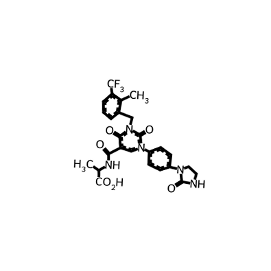 Cc1c(Cn2c(=O)c(C(=O)NC(C)C(=O)O)cn(-c3ccc(N4CCNC4=O)cc3)c2=O)cccc1C(F)(F)F